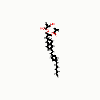 C=C(C)C(=O)OCC(COC(O)C(=C)CO)Cc1ccc2cc(CCc3ccc(CCCCCCC)cc3)ccc2c1